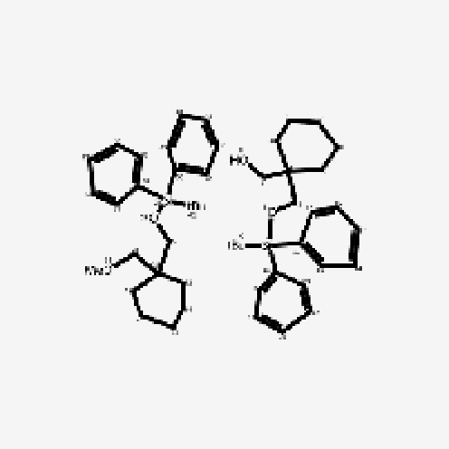 CC(C)(C)[Si](OCC1(CO)CCCCC1)(c1ccccc1)c1ccccc1.COCC1(CO[Si](c2ccccc2)(c2ccccc2)C(C)(C)C)CCCCC1